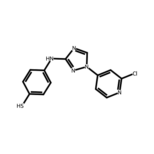 Sc1ccc(Nc2ncn(-c3ccnc(Cl)c3)n2)cc1